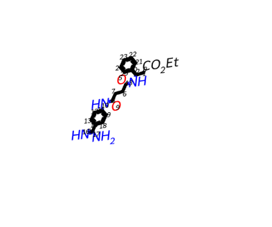 CCOC(=O)CC(NC(=O)CCC(=O)Nc1ccc(C(=N)N)cc1)c1ccccc1